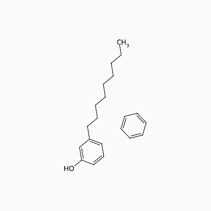 CCCCCCCCCc1cccc(O)c1.c1ccccc1